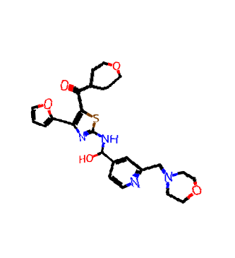 O=C(c1sc(NC(O)c2ccnc(CN3CCOCC3)c2)nc1-c1ccco1)C1CCOCC1